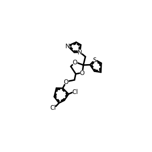 Clc1ccc(OCC2COC(Cn3ccnc3)(c3cccs3)O2)c(Cl)c1